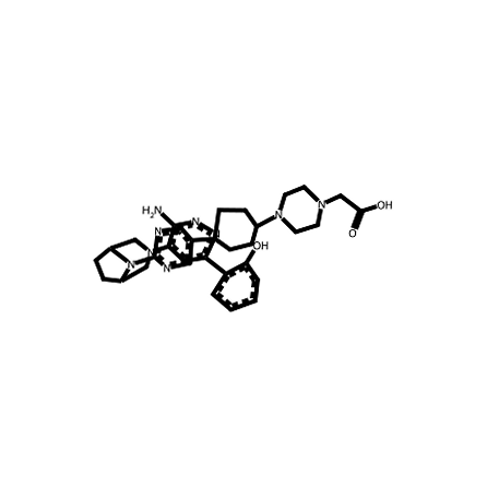 Nc1nnc(-c2ccccc2O)cc1N1CC2CCC(C1)N2c1ncc(C2CCC(N3CCN(CC(=O)O)CC3)CC2)cn1